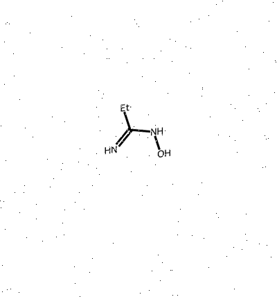 C[CH]C(=N)NO